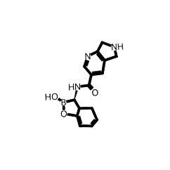 O=C(N[C@@H]1B(O)OC2=CC=CCC21)c1cnc2c(c1)CNC2